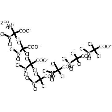 O=C([O-])C(Cl)(Cl)N(Cl)Cl.O=C([O-])C(Cl)(Cl)N(Cl)Cl.O=C([O-])C(Cl)(Cl)N(Cl)Cl.O=C([O-])C(Cl)(Cl)N(Cl)Cl.O=C([O-])C(Cl)(Cl)N(Cl)Cl.O=C([O-])C(Cl)(Cl)N(Cl)Cl.O=C([O-])C(Cl)(Cl)N(Cl)Cl.[Al+3].[Zr+4]